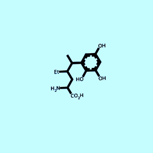 CCC(CC(N)C(=O)O)C(C)c1cc(O)cc(O)c1O